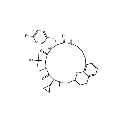 CN1C(=O)[C@H](C2CC2)NCC2CCc3cccc(c3O2)CCCNC(=O)[C@@H](Cc2ccc(F)cc2)NC(=O)[C@@H]1C(C)(C)O